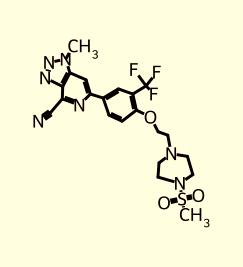 Cn1nnc2c(C#N)nc(-c3ccc(OCCN4CCN(S(C)(=O)=O)CC4)c(C(F)(F)F)c3)cc21